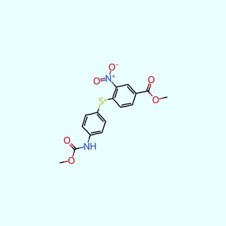 COC(=O)Nc1ccc(Sc2ccc(C(=O)OC)cc2[N+](=O)[O-])cc1